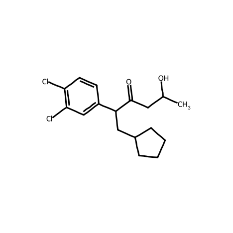 CC(O)CC(=O)C(CC1CCCC1)c1ccc(Cl)c(Cl)c1